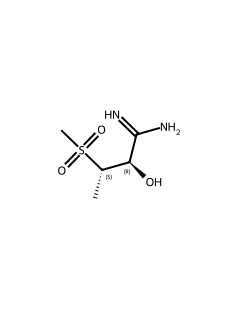 C[C@@H]([C@H](O)C(=N)N)S(C)(=O)=O